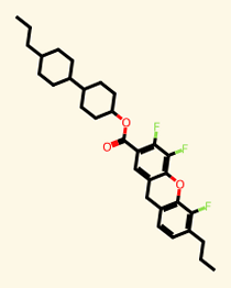 CCCc1ccc2c(c1F)Oc1c(cc(C(=O)OC3CCC(C4CCC(CCC)CC4)CC3)c(F)c1F)C2